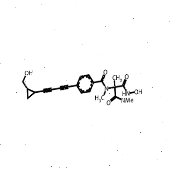 CNC(=O)C(C)(C(=O)NO)N(C)C(=O)c1ccc(C#CC#CC2CC2CO)cc1